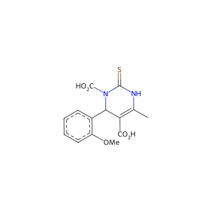 COc1ccccc1C1C(C(=O)O)=C(C)NC(=S)N1C(=O)O